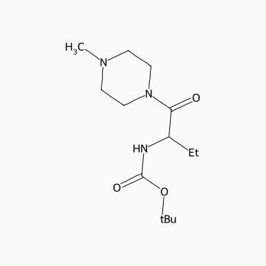 CCC(NC(=O)OC(C)(C)C)C(=O)N1CCN(C)CC1